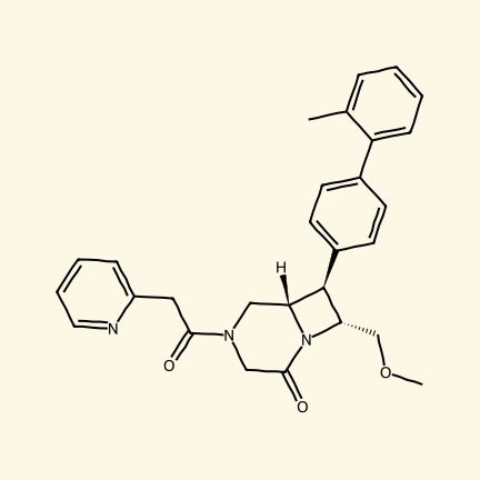 COC[C@H]1[C@H](c2ccc(-c3ccccc3C)cc2)[C@H]2CN(C(=O)Cc3ccccn3)CC(=O)N21